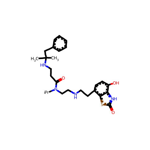 CC(C)N(CCNCCc1ccc(O)c2[nH]c(=O)sc12)C(=O)CCNC(C)(C)Cc1ccccc1